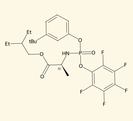 CCC(CC)COC(=O)[C@H](C)NP(=O)(Oc1cccc(C(C)(C)C)c1)Oc1c(F)c(F)c(F)c(F)c1F